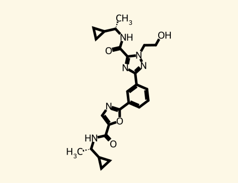 C[C@H](NC(=O)c1cnc(-c2cccc(-c3nc(C(=O)N[C@@H](C)C4CC4)n(CCO)n3)c2)o1)C1CC1